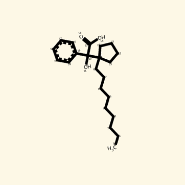 CCCCCCCCCC1(C(O)(C(=O)O)c2ccccc2)CCCC1